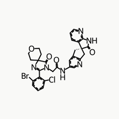 O=C(CN1C(=O)C2(CCOCC2)N=C1c1c(Cl)cccc1Br)Nc1cnc2c(c1)C[C@@]1(C2)C(=O)Nc2ncccc21